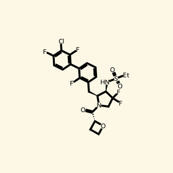 CCS(=O)(=O)N[C@@H]1[C@H](Cc2cccc(-c3ccc(F)c(Cl)c3F)c2F)N(C(=O)[C@H]2CCO2)CC1(F)F